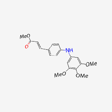 COC(=O)/C=C/c1ccc(Nc2cc(OC)c(OC)c(OC)c2)cc1